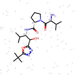 CC(C)[C@H](NC(=O)[C@@H]1CCCN1C(=O)[C@@H](N)C(C)C)C(O)c1nnc(C(C)(C)C)o1